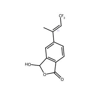 C/C(=C\C(F)(F)F)c1ccc2c(c1)C(O)OC2=O